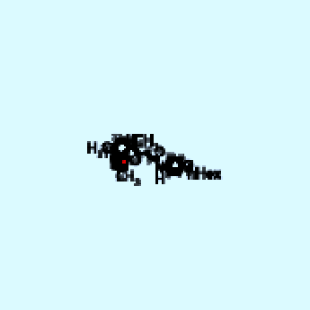 CCCCCCOc1ccc(NC(=O)CC[C@H]2O[C@@H]3O[C@]4(C)CC[C@H]5[C@H](C)CC[C@@H]([C@H]2C)[C@@]35OO4)cc1